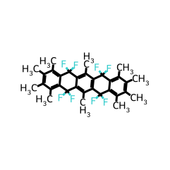 Cc1c(C)c(C)c2c(c1C)C(F)(F)c1c(C)c3c(c(C)c1C2(F)F)C(F)(F)c1c(C)c(C)c(C)c(C)c1C3(F)F